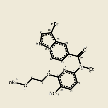 CCCCOCCOc1nc(N(CC)C(=O)c2ccn3ncc(Br)c3c2)ccc1C#N